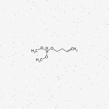 C=CCCO[SiH](OC)OC